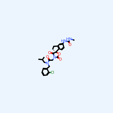 CNC(=O)Nc1ccc2c(c1)CC[C@@]21OC(=O)N(CC(=O)N(Cc2ccccc2Cl)CC(C)C)C1=O